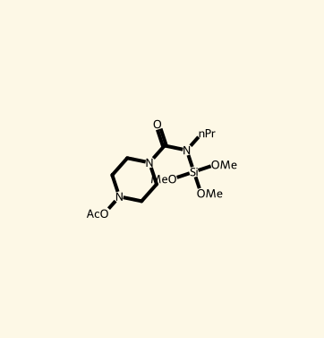 CCCN(C(=O)N1CCN(OC(C)=O)CC1)[Si](OC)(OC)OC